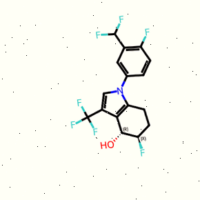 O[C@@H]1c2c(C(F)(F)F)cn(-c3ccc(F)c(C(F)F)c3)c2CC[C@H]1F